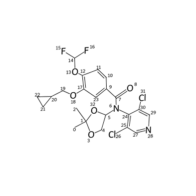 CC1(C)OCC(N(C(=O)c2ccc(OC(F)F)c(OCC3CC3)c2)c2c(Cl)cncc2Cl)O1